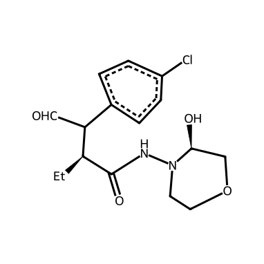 CC[C@H](C(=O)NN1CCOC[C@@H]1O)C(C=O)c1ccc(Cl)cc1